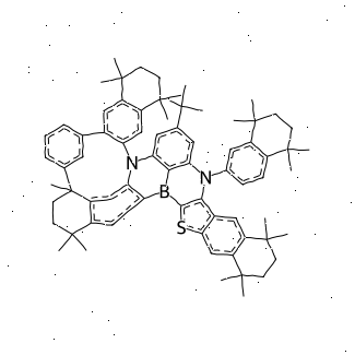 CC(C)(C)c1cc2c3c(c1)N(c1ccc4c(c1)C(C)(C)CCC4(C)C)c1c(sc4cc5c(cc14)C(C)(C)CCC5(C)C)B3c1cc3c4cc1N2c1cc2c(cc1-c1cccc(c1)C4(C)CCC3(C)C)C(C)(C)CCC2(C)C